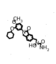 COc1ccc(N2Cc3ccc(CN(O)C(N)=O)cc3C2=O)cc1OC1CCCCC1